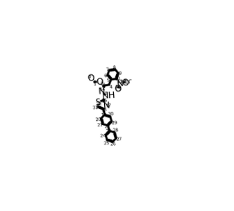 O=CO/C(Cc1ccccc1[N+](=O)[O-])=N/Nc1nc(-c2ccc(-c3ccccc3)cc2)cs1